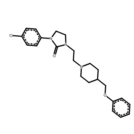 O=C1N(CCN2CCC(COc3ccccc3)CC2)CCN1c1ccc(Cl)cc1